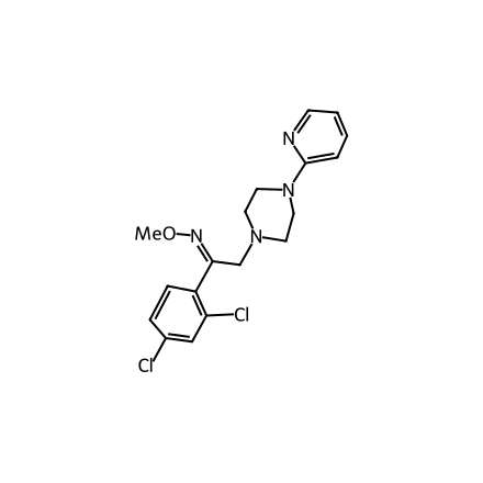 CON=C(CN1CCN(c2ccccn2)CC1)c1ccc(Cl)cc1Cl